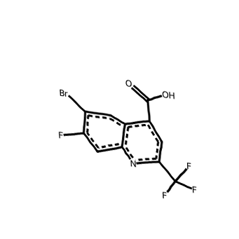 O=C(O)c1cc(C(F)(F)F)nc2cc(F)c(Br)cc12